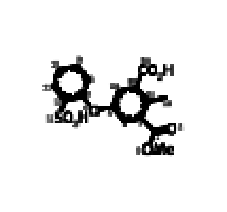 COC(=O)c1cc(Oc2ccccc2S(=O)(=O)O)cc(C(=O)O)c1C